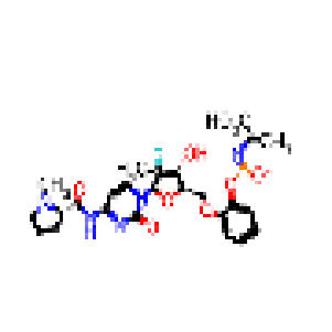 C[C@@H](/N=[P+](\[O-])Oc1ccccc1OC[C@H]1O[C@@H](n2ccc(NC(=O)[C@@H]3CCCN3C)nc2=O)[C@](C)(F)[C@@H]1O)C(=O)O